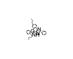 CCCc1ccc(-c2nc(-c3ccccc3)n(C)c2C(=O)NC(CCC)c2ccccc2)cc1